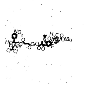 COc1c(N2CCN(C(=O)OC(C)(C)C)C(C)C2)c(F)cc2c(=O)c(C(=O)OCOC(=O)CCC(=O)OC[C@@H](NC(=O)C(Cl)Cl)[C@H](O)c3ccc([N+](=O)[O-])cc3)cn(C3CC3)c12